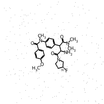 COc1ccc(C(=O)N(C)c2ccc(C(C(=O)N(C)C)C(N)C(=O)N3CC[C@H](F)C3)cc2)cc1